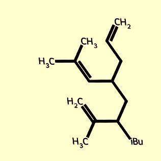 C=CCC(C=C(C)C)CC(C(=C)C)C(C)CC